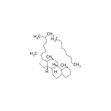 CC(C)CCC[C@@H](C)[C@H]1CC[C@H]2[C@@H]3CCC4CCCC[C@]4(C)[C@H]3CC[C@]12C.CCCCCCCC